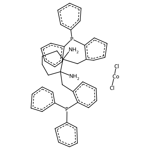 NC1(Cc2ccccc2P(c2ccccc2)c2ccccc2)CCCCC1(N)Cc1ccccc1P(c1ccccc1)c1ccccc1.[Cl][Co][Cl]